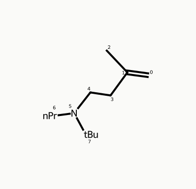 C=C(C)CCN(CCC)C(C)(C)C